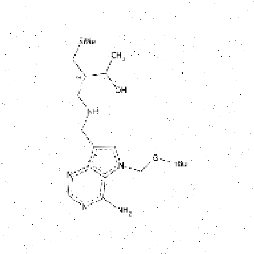 CCCCOCn1cc(CNC[C@H](CSC)C(C)O)c2ncnc(N)c21